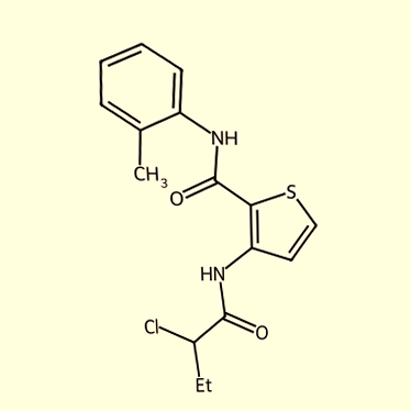 CCC(Cl)C(=O)Nc1ccsc1C(=O)Nc1ccccc1C